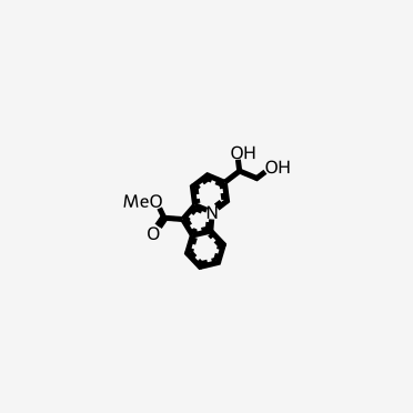 COC(=O)c1c2ccccc2n2cc(C(O)CO)ccc12